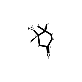 CC1(C)CCC(=O)C[C@]1(C)O